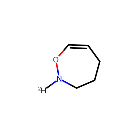 [2H]N1CCCC=CO1